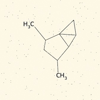 CC1CC(C)C23CC2C13